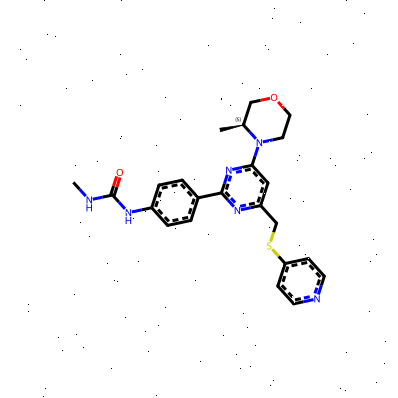 CNC(=O)Nc1ccc(-c2nc(CSc3ccncc3)cc(N3CCOC[C@@H]3C)n2)cc1